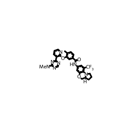 CNc1ncnc(-c2cccnc2Oc2cc(C(=O)Nc3cc4c(c(C(F)(F)F)c3)N3CCC[C@H]3CO4)ccc2C)n1